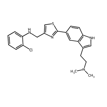 CN(C)CCc1c[nH]c2ccc(-c3nc(CNc4ccccc4Cl)cs3)cc12